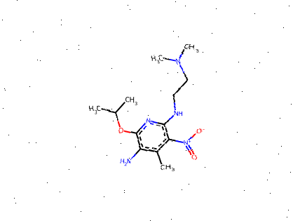 Cc1c(N)c(OC(C)C)nc(NCCN(C)C)c1[N+](=O)[O-]